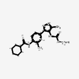 CCC[C@H](C)OC(=O)Nc1c(C)noc1-c1ccc(NC(=O)C2CCCCC2)c(C)n1